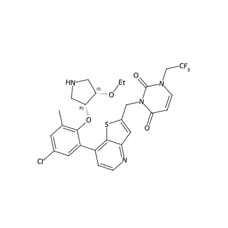 CCO[C@H]1CNC[C@H]1Oc1c(C)cc(Cl)cc1-c1ccnc2cc(Cn3c(=O)ccn(CC(F)(F)F)c3=O)sc12